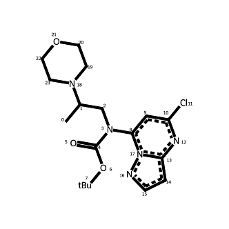 CC(CN(C(=O)OC(C)(C)C)c1cc(Cl)nc2ccnn12)N1CCOCC1